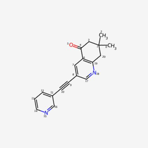 CC1(C)CC(=O)c2cc(C#Cc3cccnc3)cnc2C1